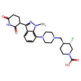 Cn1nc(C2CCC(=O)NC2=O)c2cccc(N3CCN(C[C@@H]4CCN(C(=O)O)C[C@H]4F)CC3)c21